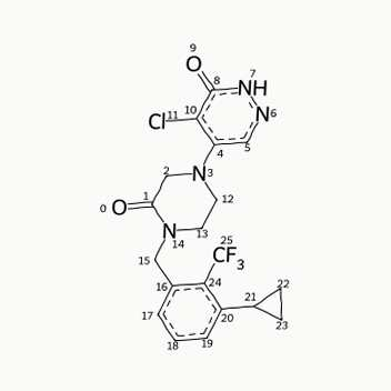 O=C1CN(c2cn[nH]c(=O)c2Cl)CCN1Cc1cccc(C2CC2)c1C(F)(F)F